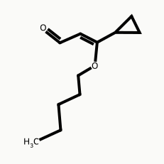 CCCCCOC(=CC=O)C1CC1